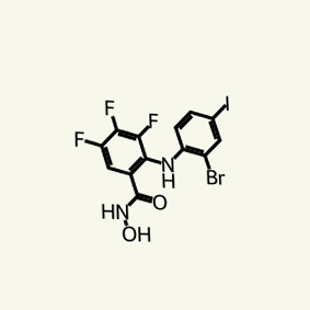 O=C(NO)c1cc(F)c(F)c(F)c1Nc1ccc(I)cc1Br